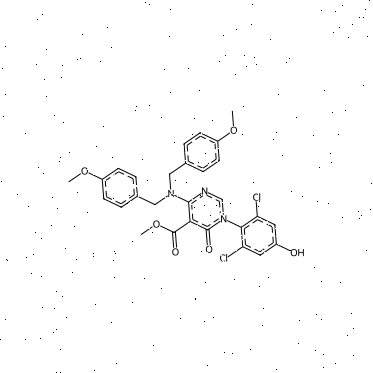 COC(=O)c1c(N(Cc2ccc(OC)cc2)Cc2ccc(OC)cc2)ncn(-c2c(Cl)cc(O)cc2Cl)c1=O